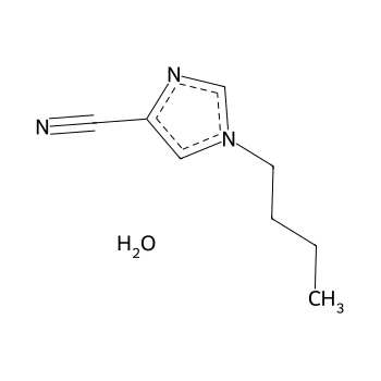 CCCCn1cnc(C#N)c1.O